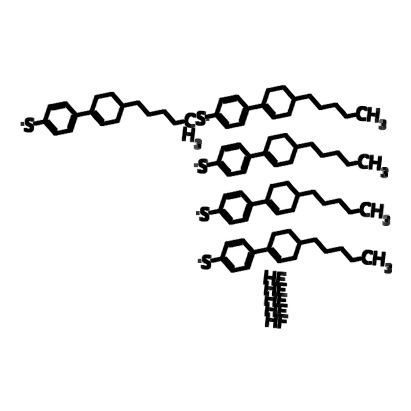 CCCCCC1CC=C(c2ccc([S])cc2)CC1.CCCCCC1CC=C(c2ccc([S])cc2)CC1.CCCCCC1CC=C(c2ccc([S])cc2)CC1.CCCCCC1CC=C(c2ccc([S])cc2)CC1.CCCCCC1CC=C(c2ccc([S])cc2)CC1.F.F.F.F.F